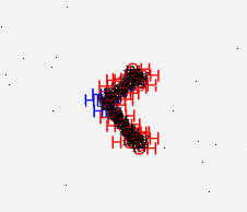 CC(=O)NC1CC(C)(C)N(O)C(C)(C)C1.CC(=O)NC1CC(C)(C)N(O)C(C)(C)C1.CC(=O)NC1CC(C)(C)N(O)C(C)(C)C1.CC1(C)CC(O)CC(C)(C)N1O.CC1(C)CC(O)CC(C)(C)N1O.CC1(C)CC(O)CC(C)(C)N1O.CC1(C)CC(O)CC(C)(C)N1O.O=C(O)CN(CCN(CC(=O)O)CC(=O)O)CC(=O)O.O=C(O)CN(CCN(CC(=O)O)CC(=O)O)CC(=O)O